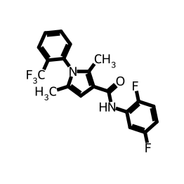 Cc1cc(C(=O)Nc2cc(F)ccc2F)c(C)n1-c1ccccc1C(F)(F)F